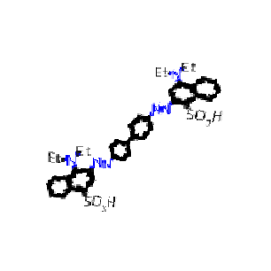 CCN(CC)c1cc(/N=N/c2ccc(-c3ccc(/N=N/c4cc(S(=O)(=O)O)c5ccccc5c4N(CC)CC)cc3)cc2)c(S(=O)(=O)O)c2ccccc12